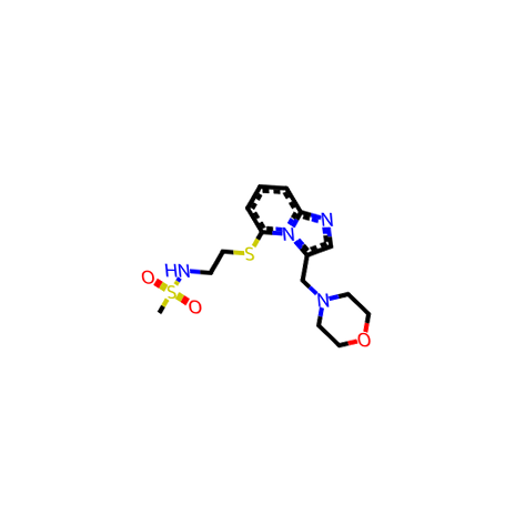 CS(=O)(=O)NCCSc1cccc2ncc(CN3CCOCC3)n12